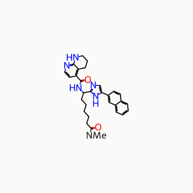 CNC(=O)CCCCCC(NC(=O)c1ccnc2c1CCCN2)c1ncc(-c2ccc3ccccc3c2)[nH]1